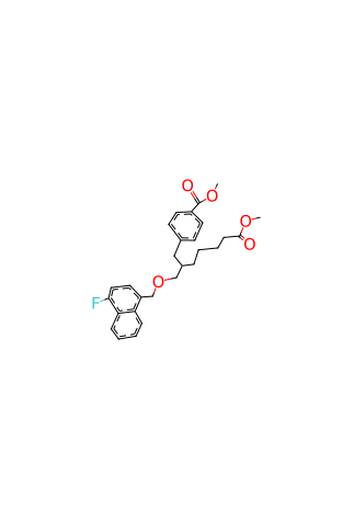 COC(=O)CCCCC(COCc1ccc(F)c2ccccc12)Cc1ccc(C(=O)OC)cc1